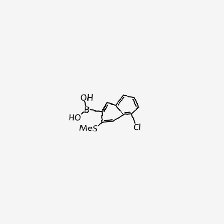 CSc1cc2c(Cl)cccc2cc1B(O)O